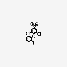 CCC1CC=CC=C1Oc1c(Cl)cc([N+](=O)[O-])cc1Cl